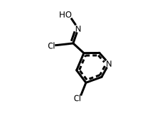 ON=C(Cl)c1cncc(Cl)c1